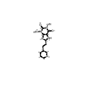 CCCn1c(=O)c2[nH]c(C=Cc3cccnc3)nc2n(CCC)c1=O